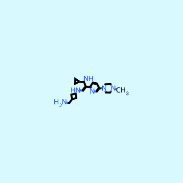 CN1CCN(c2ccc(/C(=C/NC3CC(CN)C3)C(=N)C3CC3)nc2)CC1